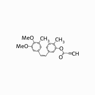 C#CC(=O)Oc1cc(/C=C\c2cc(C)c(OC)c(OC)c2)ccc1C